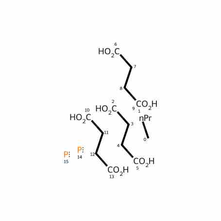 CCCC.O=C(O)CCC(=O)O.O=C(O)CCC(=O)O.O=C(O)CCC(=O)O.[P].[P]